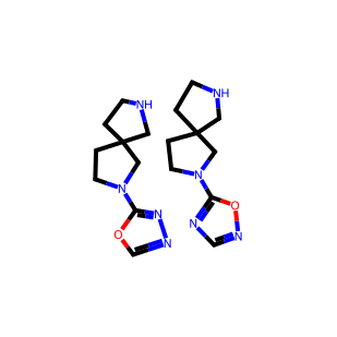 c1nnc(N2CCC3(CCNC3)C2)o1.c1noc(N2CCC3(CCNC3)C2)n1